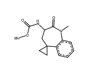 CN1C(=O)C(NC(=O)OC(C)(C)C)CC2(CC2)c2ccccc21